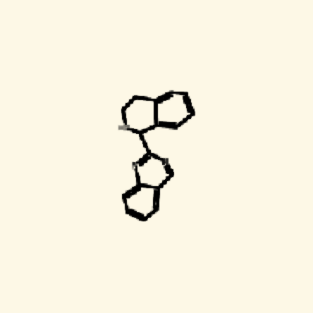 c1ccc2c(c1)CCNC2c1ncc2ccccc2n1